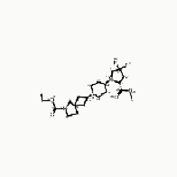 CCOC(=O)N1CCC2(CC(N3CCC(N4CC(F)(F)C[C@@H]4C(=O)OC)CC3)C2)C1